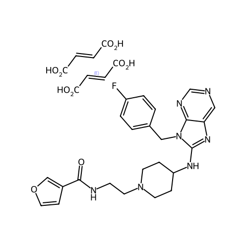 O=C(NCCN1CCC(Nc2nc3cncnc3n2Cc2ccc(F)cc2)CC1)c1ccoc1.O=C(O)/C=C/C(=O)O.O=C(O)C=CC(=O)O